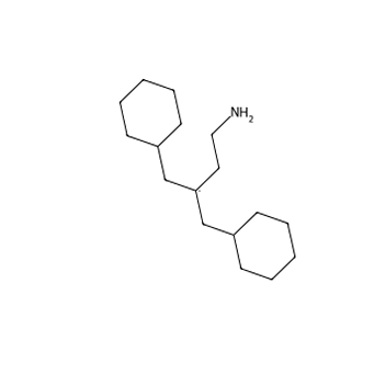 NCC[C](CC1CCCCC1)CC1CCCCC1